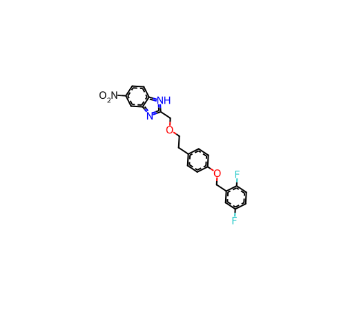 O=[N+]([O-])c1ccc2[nH]c(COCCc3ccc(OCc4cc(F)ccc4F)cc3)nc2c1